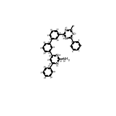 Cc1nc(-c2ccccc2)nc(-c2cccc(-c3cccc(-c4cc(-c5ccccc5)nc(N)n4)c3)c2)n1